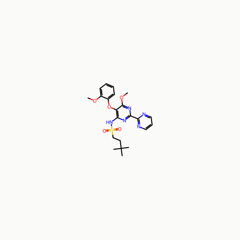 COc1ccccc1Oc1c(NS(=O)(=O)CCC(C)(C)C)nc(-c2ncccn2)nc1OC